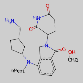 CCCCCN(c1cccc2c1CN(C1CCC(=O)NC1=O)C2=O)[C@@H]1CC[C@H](CN)C1.O=CO